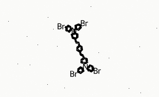 Brc1ccc(N(c2ccc(Br)cc2)c2ccc(/C=C/c3ccc(/C=C/c4ccc(N(c5ccc(Br)cc5)c5ccc(Br)cc5)cc4)cc3)cc2)cc1